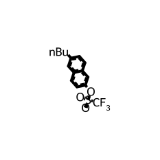 CCCCc1ccc2cc(OS(=O)(=O)C(F)(F)F)ccc2c1